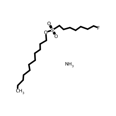 CCCCCCCCCCCOS(=O)(=O)CCCCCCCF.N